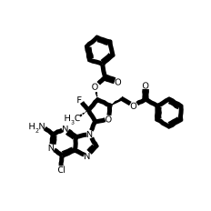 C[C@@]1(F)C(n2cnc3c(Cl)nc(N)nc32)O[C@H](COC(=O)c2ccccc2)[C@H]1OC(=O)c1ccccc1